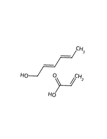 C/C=C/C=C/CO.C=CC(=O)O